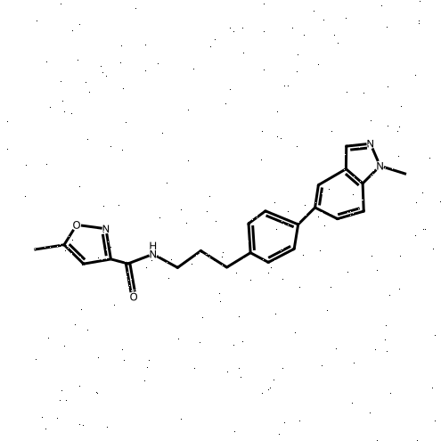 Cc1cc(C(=O)NCCCc2ccc(-c3ccc4c(cnn4C)c3)cc2)no1